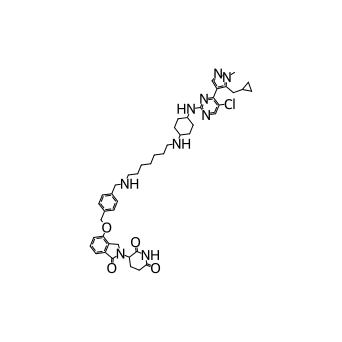 Cn1ncc(-c2nc(NC3CCC(NCCCCCCCNCc4ccc(COc5cccc6c5CN(C5CCC(=O)NC5=O)C6=O)cc4)CC3)ncc2Cl)c1CC1CC1